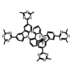 Cc1nc(C)nc(-c2ccc3c(c2)c2cc(-c4nc(C)nc(C)n4)ccc2n3-c2cccnc2-c2c(-n3c4ccc(-c5nc(C)nc(C)n5)cc4c4cc(-c5nc(C)nc(C)n5)ccc43)cccc2C(F)(F)F)n1